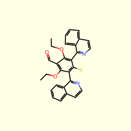 CCOc1c(C=O)c(OCC)c(-c2nccc3ccccc23)c(F)c1-c1nccc2ccccc12